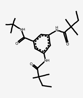 CCC(C)(C)C(=O)Nc1cc(NC(=O)C(C)(C)CC)cc(C(=O)NC(C)(C)C)c1